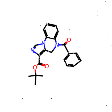 CC(C)(C)OC(=O)c1ncn2c1CN(C(=O)c1ccccc1)c1ccccc1-2